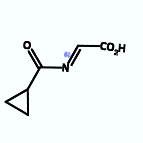 O=C(O)/C=N/C(=O)C1CC1